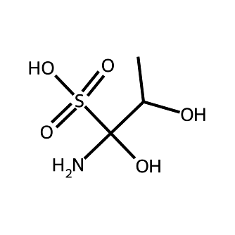 CC(O)C(N)(O)S(=O)(=O)O